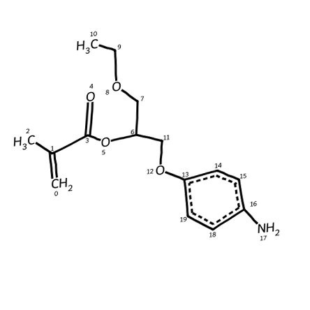 C=C(C)C(=O)OC(COCC)COc1ccc(N)cc1